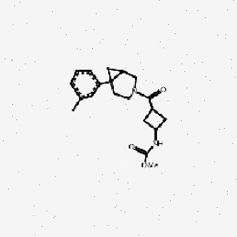 COC(=O)NC1CC(C(=O)N2CCC3(c4cccc(C)c4)CC3C2)C1